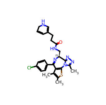 Cc1sc2c(c1C)C(c1ccc(Cl)cc1)=N[C@@H](CNC(=O)CCC1=CNCC=C1)c1nnc(C)n1-2